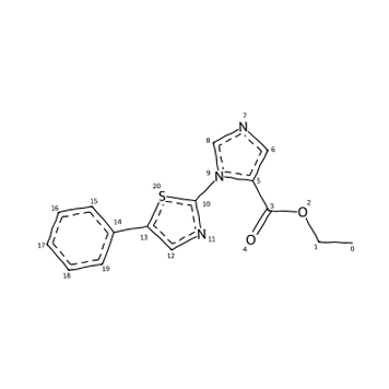 CCOC(=O)c1cncn1-c1ncc(-c2ccccc2)s1